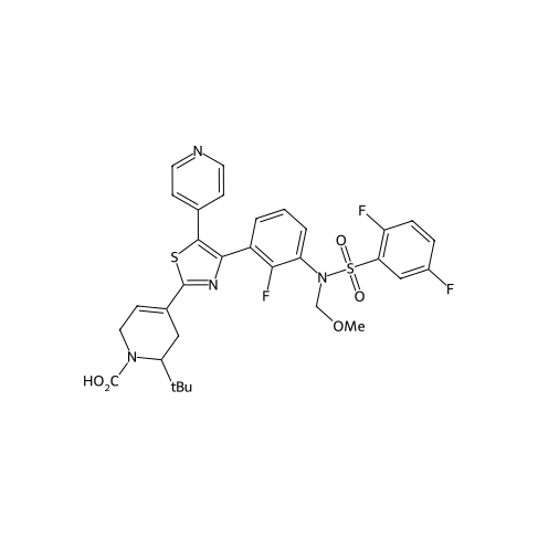 COCN(c1cccc(-c2nc(C3=CCN(C(=O)O)C(C(C)(C)C)C3)sc2-c2ccncc2)c1F)S(=O)(=O)c1cc(F)ccc1F